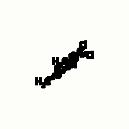 CCCCOC(=O)CCCc1nc2cc(N(CCCl)CCCl)ccc2n1C